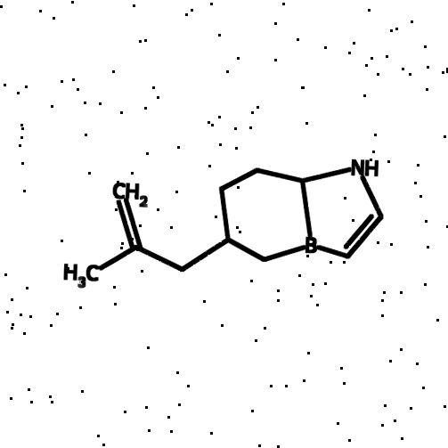 C=C(C)CC1CCC2NC=CB2C1